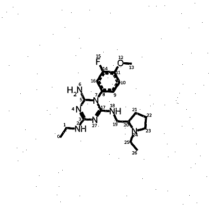 CCNC1=NC(N)N(c2ccc(OC)c(F)c2)C(NCC2CCCN2CC)=N1